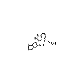 CCNN(Cc1ccccc1OCCO)c1cc2ncncc2cc1[N+](=O)[O-]